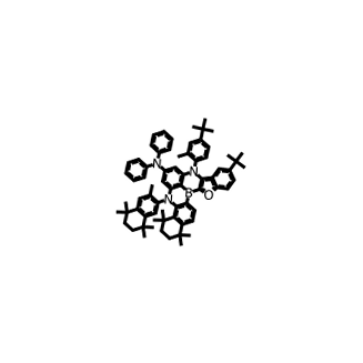 Cc1cc2c(cc1N1c3cc(N(c4ccccc4)c4ccccc4)cc4c3B(c3ccc5c(c31)C(C)(C)CCC5(C)C)c1oc3ccc(C(C)(C)C)cc3c1N4c1ccc(C(C)(C)C)cc1C)C(C)(C)CCC2(C)C